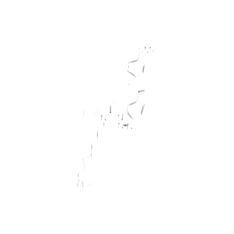 CCCCCCCCCCCCCCCCCCN(C)C(=O)n1nnc2ccc(C(=O)Oc3ccc(SC)cc3)cc21